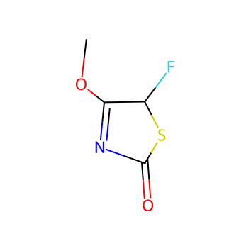 COC1=NC(=O)SC1F